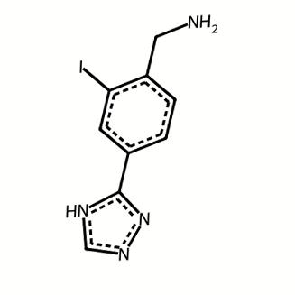 NCc1ccc(-c2nnc[nH]2)cc1I